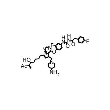 C=C(C(C)=O)C(O)CCCCc1cc(CN2CCC(N)CC2)c2c(Oc3ccc(NC(=O)NC(=O)Cc4ccc(F)cc4)cc3F)ncnn12